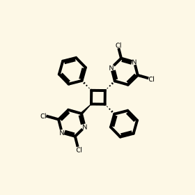 Clc1cc([C@H]2[C@H](c3ccccc3)[C@H](c3cc(Cl)nc(Cl)n3)[C@@H]2c2ccccc2)nc(Cl)n1